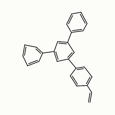 C=Cc1ccc(-c2cc(-c3ccccc3)cc(-c3ccccc3)c2)cc1